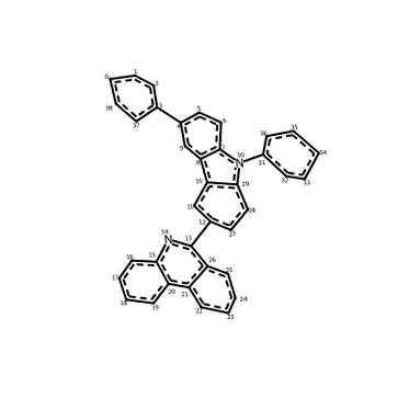 c1ccc(-c2ccc3c(c2)c2cc(-c4nc5ccccc5c5ccccc45)ccc2n3-c2ccccc2)cc1